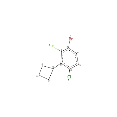 Fc1c(Br)ccc(Cl)c1C1CCC1